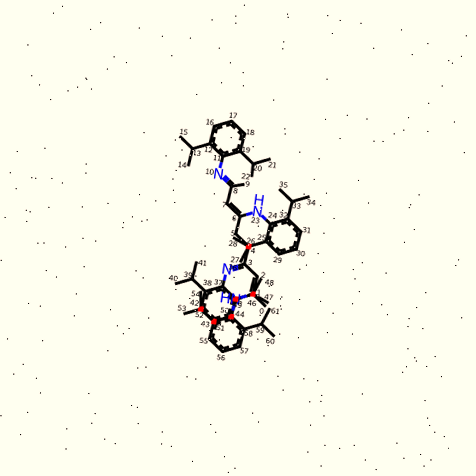 CC(=CC(CCC(=CC(C)=Nc1c(C(C)C)cccc1C(C)C)Nc1c(C(C)C)cccc1C(C)C)=Nc1c(C(C)C)cccc1C(C)C)Nc1c(C(C)C)cccc1C(C)C